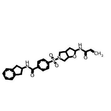 C=CC(=O)NC1CC2CN(S(=O)(=O)c3ccc(C(=O)NC4Cc5ccccc5C4)cc3)CC2O1